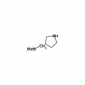 C1CCNC1.CNC